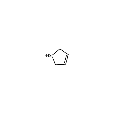 C1=CC[SiH]C1